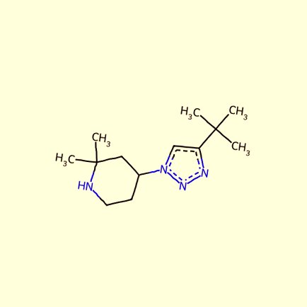 CC1(C)CC(n2cc(C(C)(C)C)nn2)CCN1